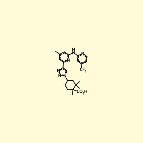 Cc1cc(Nc2cc(C(F)(F)F)ccn2)nc(-c2cn(C3CCC(C)(C(=O)O)C(C)(C)C3)nn2)c1